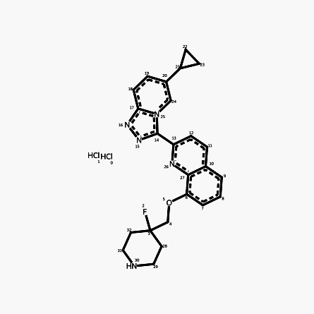 Cl.Cl.FC1(COc2cccc3ccc(-c4nnc5ccc(C6CC6)cn45)nc23)CCNCC1